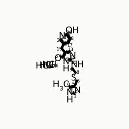 Cc1[nH]cnc1CSCCNc1ncc(Cc2ccc(O)nc2)c(=O)[nH]1.Cl.Cl.Cl